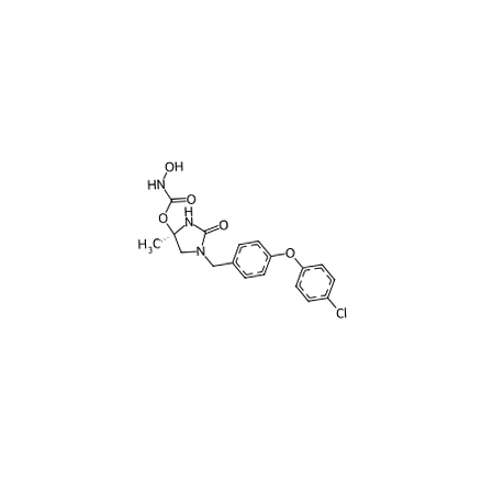 C[C@@]1(OC(=O)NO)CN(Cc2ccc(Oc3ccc(Cl)cc3)cc2)C(=O)N1